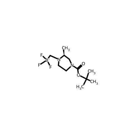 C[C@H]1CN(C(=O)OC(C)(C)C)CCN1C[B-](F)(F)F